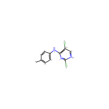 Cc1ccc(Nc2nc(Cl)ncc2Cl)cc1